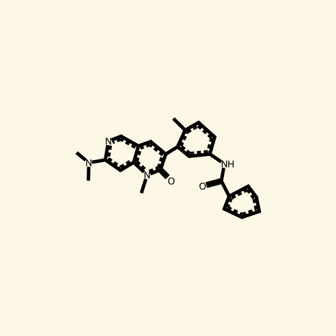 Cc1ccc(NC(=O)c2ccccc2)cc1-c1cc2cnc(N(C)C)cc2n(C)c1=O